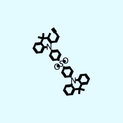 C#C/C=C\C1=C(C)C(C)(C)c2ccccc2N1c1ccc(S(=O)(=O)c2ccc(N3c4ccccc4C(C)(C)c4ccccc43)cc2)cc1